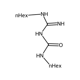 CCCCCCNC(=N)NC(=O)NCCCCCC